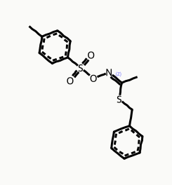 C/C(=N/OS(=O)(=O)c1ccc(C)cc1)SCc1ccccc1